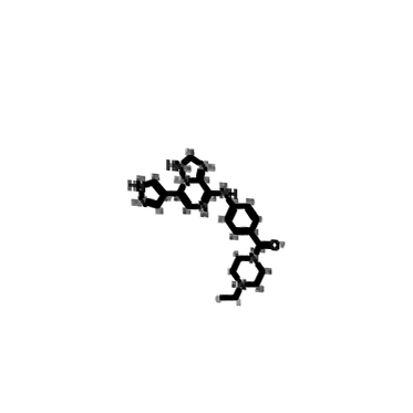 CCN1CCN(C(=O)c2ccc(NC3=NC=C(c4cn[nH]c4)N4NCN=C34)cc2)CC1